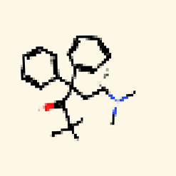 C[C@@H](CC(C(=O)C(C)(C)C)(c1ccccc1)c1ccccc1)N(C)C